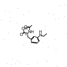 CCNc1cccc(C[C@H](NC(C)=O)C(=O)O)c1